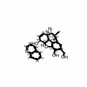 CN1CC[C@]23c4c5cc(CO)c(O)c4O[C@H]2[C@@H](O)C=C[C@H]3[C@H]1C5.c1ccc2ncccc2c1